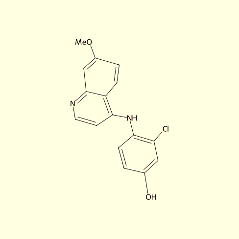 COc1ccc2c(Nc3ccc(O)cc3Cl)ccnc2c1